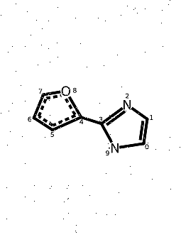 C1=CN=C(c2ccco2)[N]1